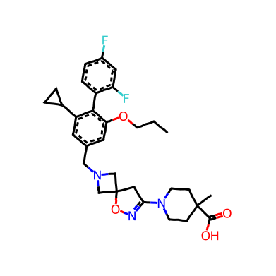 CCCOc1cc(CN2CC3(CC(N4CCC(C)(C(=O)O)CC4)=NO3)C2)cc(C2CC2)c1-c1ccc(F)cc1F